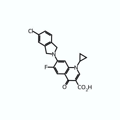 O=C(O)c1cn(C2CC2)c2cc(N3Cc4ccc(Cl)cc4C3)c(F)cc2c1=O